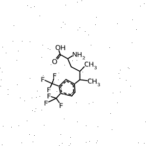 CC(CC(N)C(=O)O)C(C)c1ccc(C(F)(F)F)c(C(F)(F)F)c1